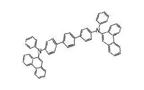 c1ccc(N(c2ccc(-c3ccc(-c4ccc(N(c5ccccc5)c5cc6ccccc6c6ccccc56)cc4)cc3)cc2)c2cc3ccccc3c3ccccc23)cc1